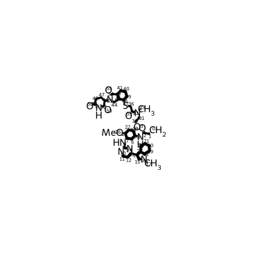 C=CC(=O)Nc1cc(Nc2nccc(-c3cn(C)c4ccccc34)n2)c(OC)cc1OCCN(C)C(=O)CSc1cccc2c1CN(C1CCC(=O)NC1=O)C2=O